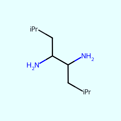 CC(C)CC(N)C(N)CC(C)C